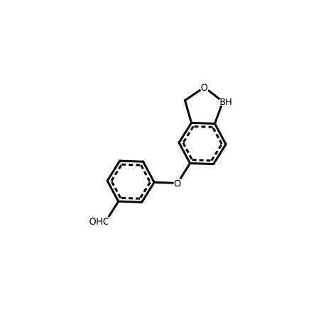 O=Cc1cccc(Oc2ccc3c(c2)COB3)c1